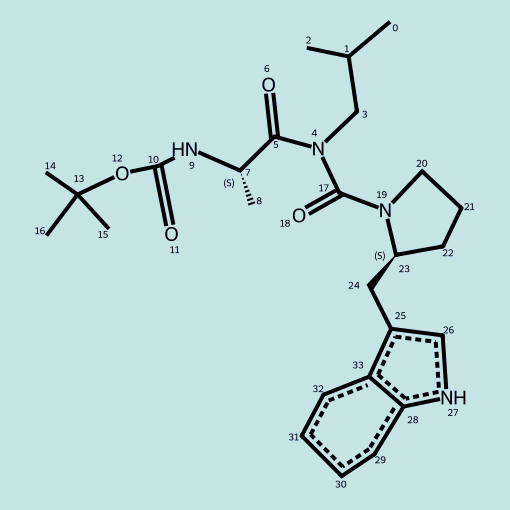 CC(C)CN(C(=O)[C@H](C)NC(=O)OC(C)(C)C)C(=O)N1CCC[C@H]1Cc1c[nH]c2ccccc12